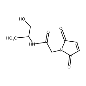 O=C(CN1C(=O)C=CC1=O)NC(CO)C(=O)O